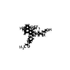 C=CC(=O)N1CC2(CCN(c3nc(N4CC(N(CC)CCCO)C4)nc4c(OCC(F)(F)F)c(-c5c(C)ccc6[nH]ncc56)c(C5CC5)cc34)CC2)C1